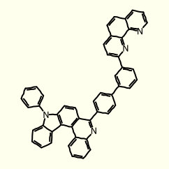 c1ccc(-n2c3ccccc3c3c4c(ccc32)c(-c2ccc(-c3cccc(-c5ccc6ccc7cccnc7c6n5)c3)cc2)nc2ccccc24)cc1